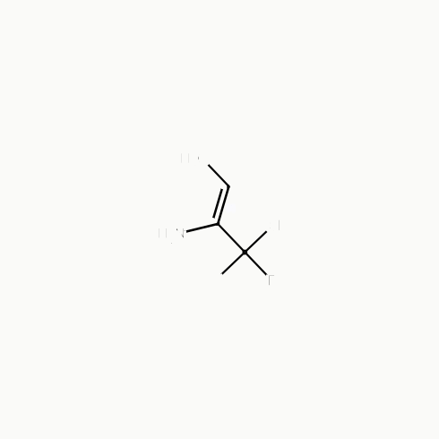 C/C=C(\N)C(F)(F)Cl